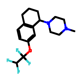 CN1CCN(C2CCCc3ccc(OC(F)(F)C(F)F)cc32)CC1